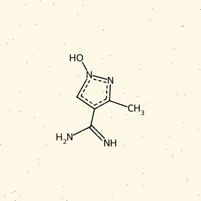 Cc1nn(O)cc1C(=N)N